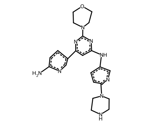 Nc1ccc(-c2cc(Nc3ccc(N4CCNCC4)nc3)nc(N3CCOCC3)n2)cn1